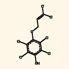 Oc1c(Cl)c(Cl)c(OCC=C(Cl)Cl)c(Cl)c1Cl